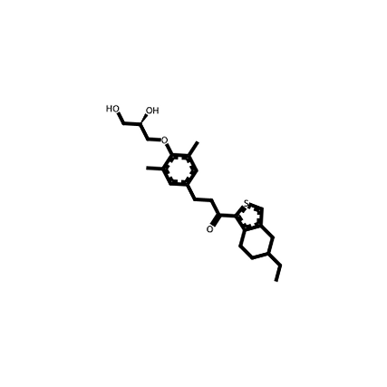 CCC1CCc2c(csc2C(=O)CCc2cc(C)c(OC[C@H](O)CO)c(C)c2)C1